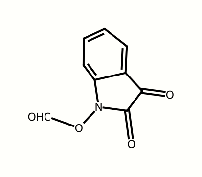 O=CON1C(=O)C(=O)c2ccccc21